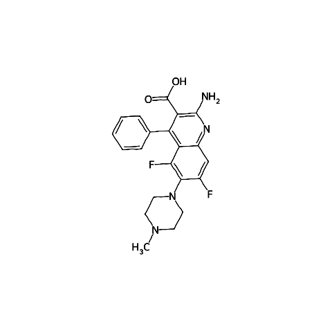 CN1CCN(c2c(F)cc3nc(N)c(C(=O)O)c(-c4ccccc4)c3c2F)CC1